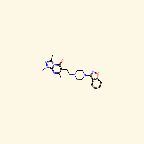 Cc1nc2n(C)nc(C)n2c(=O)c1CCN1CCN(c2noc3ccccc23)CC1